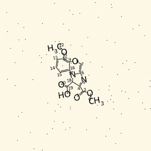 COC(=O)C1=NC2=COc3c(OC)cccc3N2C1C(=O)O